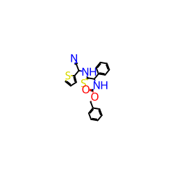 N#CC(NC(=S)C(NC(=O)OCc1ccccc1)c1ccccc1)c1cccs1